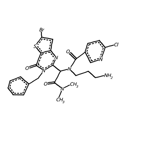 CN(C)C(=O)C(c1nc2cc(Br)sc2c(=O)n1Cc1ccccc1)N(CCCN)C(=O)c1ccc(Cl)nc1